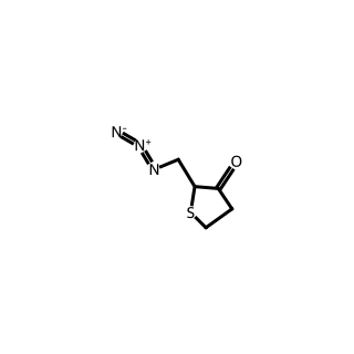 [N-]=[N+]=NCC1SCCC1=O